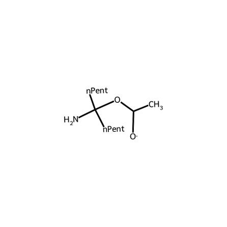 CCCCCC(N)(CCCCC)OC(C)[O]